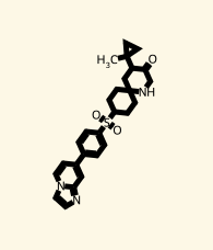 CC1(C2CC3(CCC(S(=O)(=O)c4ccc(-c5ccn6ccnc6c5)cc4)CC3)NCC2=O)CC1